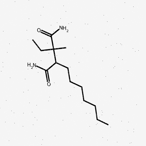 CCCCCCCC(C(N)=O)C(C)(CC)C(N)=O